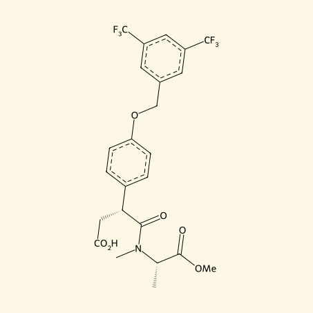 COC(=O)[C@H](C)N(C)C(=O)[C@H](CC(=O)O)c1ccc(OCc2cc(C(F)(F)F)cc(C(F)(F)F)c2)cc1